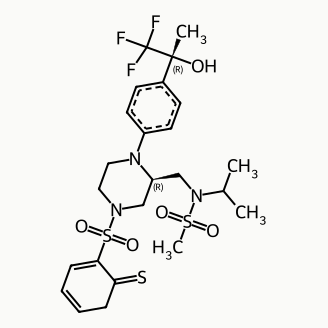 CC(C)N(C[C@H]1CN(S(=O)(=O)C2=CC=CCC2=S)CCN1c1ccc([C@@](C)(O)C(F)(F)F)cc1)S(C)(=O)=O